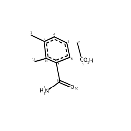 CC(=O)O.Cc1cccc(C(N)=O)c1C